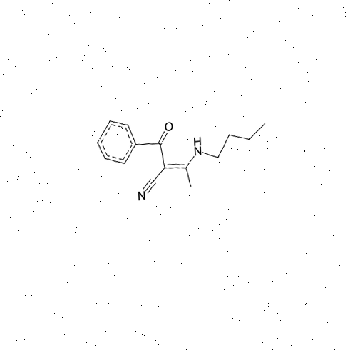 CCCCNC(C)=C(C#N)C(=O)c1ccccc1